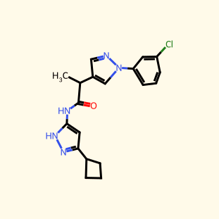 CC(C(=O)Nc1cc(C2CCC2)n[nH]1)c1cnn(-c2cccc(Cl)c2)c1